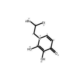 CCCCC(CC)Cn1ccc(=O)c(O)c1O